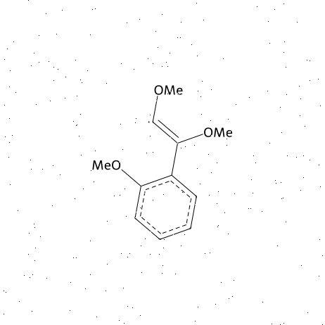 CO[C]=C(OC)c1ccccc1OC